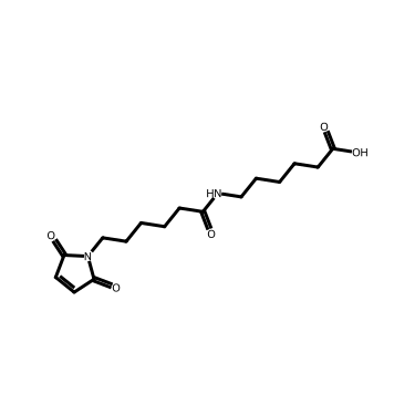 O=C(O)CCCCCNC(=O)CCCCCN1C(=O)C=CC1=O